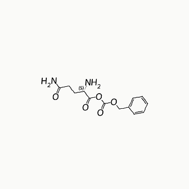 NC(=O)CC[C@H](N)C(=O)OC(=O)OCc1ccccc1